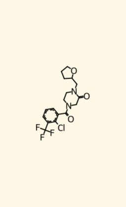 O=C1CN(C(=O)c2cccc(C(F)(F)F)c2Cl)CCN1CC1CCCO1